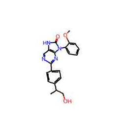 COc1ccccc1-n1c(=O)[nH]c2cnc(-c3ccc(C(C)CO)cc3)nc21